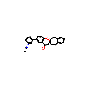 [C-]#[N+]c1cccc(-c2ccc3c(c2)C(=O)CC2(CCc4ccccc4CC2)O3)c1